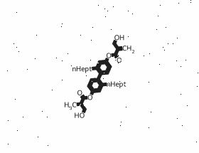 C=C(CO)C(=O)Oc1ccc(-c2ccc(OC(=O)C(C)CO)cc2CCCCCCC)c(CCCCCCC)c1